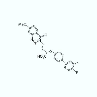 COc1ccc2c(=O)n(CCC(Sc3ccc(-c4ccc(F)c(C)c4)cc3)C(=O)O)nnc2c1